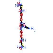 NCCCCCCNC(=O)c1cc(C(=O)NCCCOCCOCCOCCCNC(=O)CCCCC2SCC3NC(=O)NC32)cc(C(=O)NCCCOCCOCCOCCCNC(=O)CCCCC2SCC3NC(=O)NC32)c1